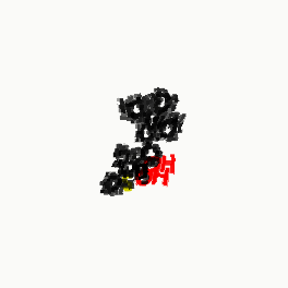 OB(O)c1c(-c2cccc(-c3ccc4c(-c5ccccc5)c5ccccc5c(-c5ccccc5)c4c3)c2)c2ccccc2c2c1sc1ccccc12